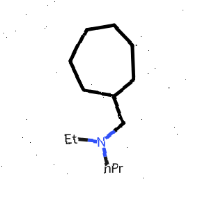 CCCN(CC)CC1C[CH]CCCC1